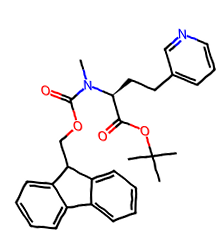 CN(C(=O)OCC1c2ccccc2-c2ccccc21)[C@@H](CCc1cccnc1)C(=O)OC(C)(C)C